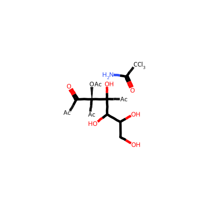 CC(=O)O[C@@](C(C)=O)(C(=O)C(C)=O)C(O)(C(C)=O)C(O)C(O)CO.NC(=O)C(Cl)(Cl)Cl